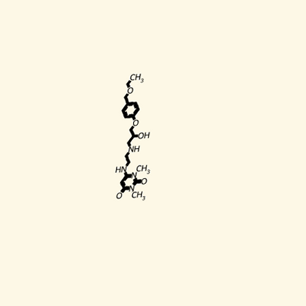 CCOCc1ccc(OCC(O)CNCCNc2cc(=O)n(C)c(=O)n2C)cc1